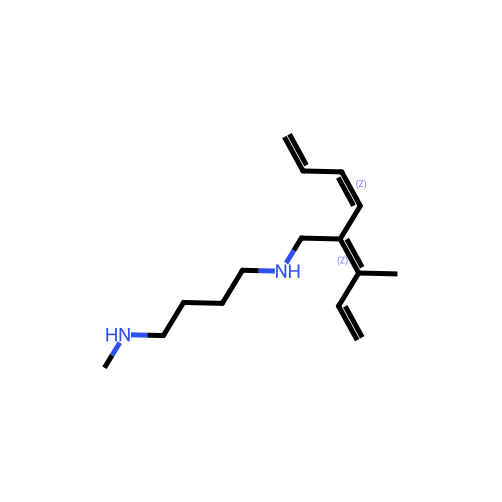 C=C/C=C\C(CNCCCCNC)=C(/C)C=C